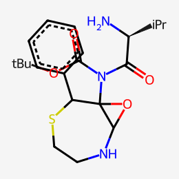 CC(C)[C@H](N)C(=O)N(C(=O)OC(C)(C)C)C12OC1NCCSC2c1ccccc1